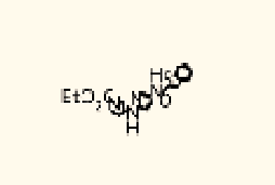 CCOC(=O)N1CC[C@H](Nc2ccc(NC(=O)c3cc4ccccc4s3)cn2)C1